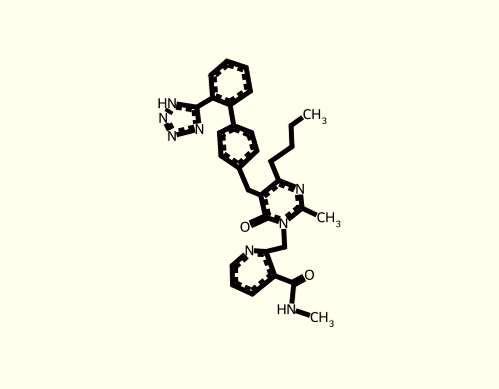 CCCCc1nc(C)n(Cc2ncccc2C(=O)NC)c(=O)c1Cc1ccc(-c2ccccc2-c2nnn[nH]2)cc1